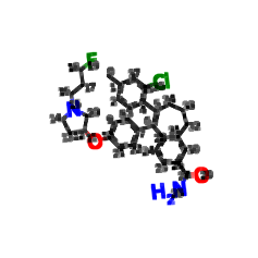 Cc1ccc(C2=C(c3ccc(OC4CCN(CCCF)C4)cc3)c3ccc(C(N)=O)cc3CCC2)c(Cl)c1